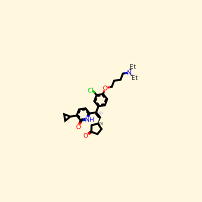 CCN(CC)CCCCOc1ccc(/C(=C/[C@H]2CCC(=O)C2)c2ccc(C3CC3)c(=O)[nH]2)cc1Cl